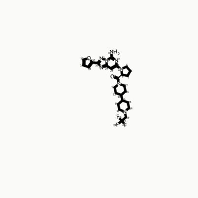 Nc1nc(N2CCC[C@H]2C(=O)N2CCC(C3CCN(CC(F)(F)F)CC3)CC2)cc2nc(-c3ccco3)nn12